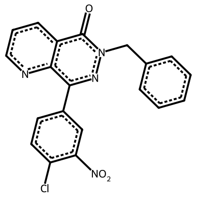 O=c1c2cccnc2c(-c2ccc(Cl)c([N+](=O)[O-])c2)nn1Cc1ccccc1